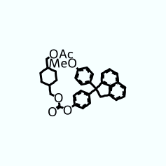 COc1ccc(C2(c3ccc(OC(=O)OCC4CCC(COC(C)=O)CC4)cc3)Cc3cccc4cccc2c34)cc1